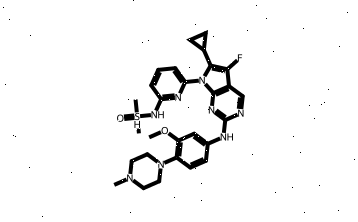 COc1cc(Nc2ncc3c(F)c(C4CC4)n(-c4cccc(N[SH](C)(C)=O)n4)c3n2)ccc1N1CCN(C)CC1